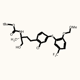 COCOc1ccc(C(F)(F)F)cc1Sc1ccc(CC[C@@](C)(CO)NC(=O)OC(C)(C)C)c(Cl)c1